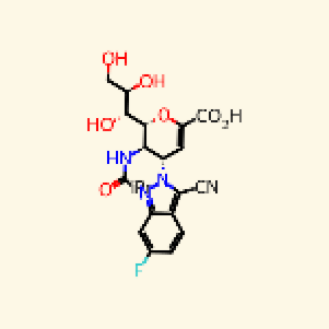 CC(C)C(=O)N[C@H]1[C@H]([C@H](O)[C@H](O)CO)OC(C(=O)O)=C[C@@H]1n1nc2cc(F)ccc2c1C#N